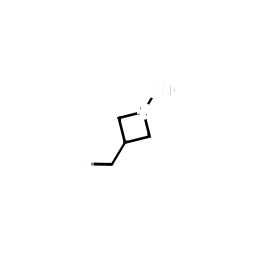 O=CN1CC(CO)C1